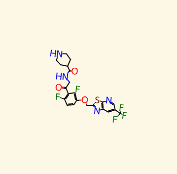 O=C(CNC(=O)C1CCNCC1)c1c(F)ccc(OCc2nc3cc(C(F)(F)F)cnc3s2)c1F